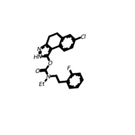 CCN(CCc1ccccc1F)C(=O)Oc1[nH]nc2c1-c1ccc(Cl)cc1CC2